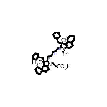 CCCN1\C(=C/C=C/C=C/C2=[N+](CCC(=O)O)c3ccc4ccccc4c3C2(C)Cc2ccccc2)C(C)(Cc2ccccc2)c2c1ccc1ccccc21